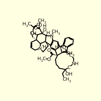 CC[C@]1(O)CCC[C@](C(=O)OC)(c2cc3c(cc2OC)N(C)[C@H]2[C@@](O)(C(=O)OC)[C@H](OC(C)=O)[C@]4(CC)C=CCN5CC[C@]32[C@@H]54)c2[nH]c3ccccc3c2CCNC1